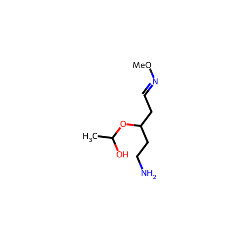 CO/N=C/CC(CCN)OC(C)O